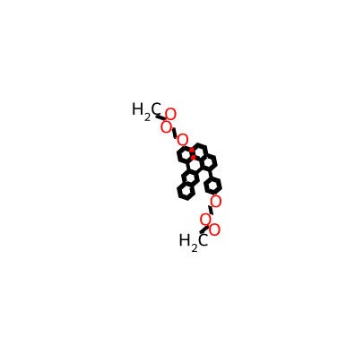 C=CC(=O)OCCOc1ccc(-c2cc3ccccc3cc2-c2c(-c3ccc(OCCOC(=O)C=C)cc3)ccc3ccccc23)cc1